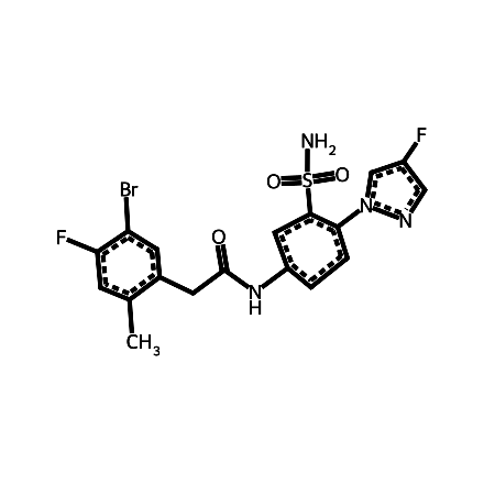 Cc1cc(F)c(Br)cc1CC(=O)Nc1ccc(-n2cc(F)cn2)c(S(N)(=O)=O)c1